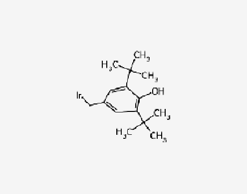 CC(C)(C)c1cc([CH2][Ir])cc(C(C)(C)C)c1O